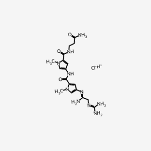 Cn1cc(NC(=O)c2cc(N=C(N)CN=C(N)N)cn2C)cc1C(=O)NCCC(N)=O.[Cl-].[H+]